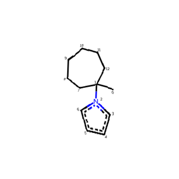 CC1(n2cccc2)CCCCCC1